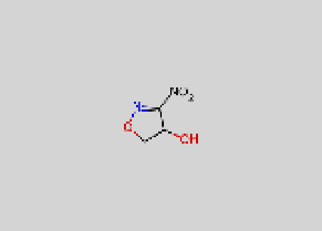 O=[N+]([O-])C1=NOCC1O